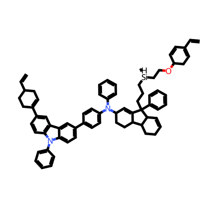 C=CC1=CCC(OCC[SiH](C)CCCC2(c3ccccc3)C3=CC(N(c4ccccc4)c4ccc(-c5ccc6c(c5)c5cc(C7=CCC(C=C)CC7)ccc5n6-c5ccccc5)cc4)CCC3C3CCC=CC32)C=C1